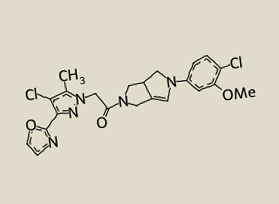 COc1cc(N2C=C3CN(C(=O)Cn4nc(-c5ncco5)c(Cl)c4C)CC3C2)ccc1Cl